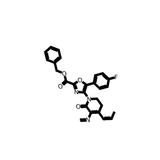 C=NC1=C(/C=C\C)CCN(c2nc(C(=O)OCc3ccccc3)oc2-c2ccc(F)cc2)C1=O